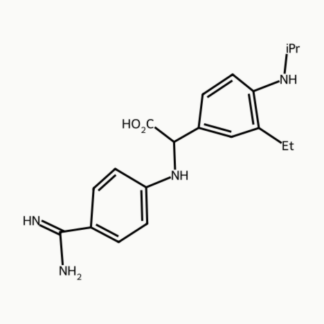 CCc1cc(C(Nc2ccc(C(=N)N)cc2)C(=O)O)ccc1NC(C)C